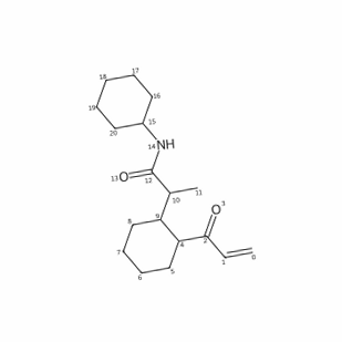 C=CC(=O)C1CCCCC1C(C)C(=O)NC1CCCCC1